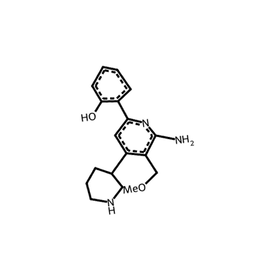 COCc1c(C2CCCNC2)cc(-c2ccccc2O)nc1N